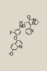 COc1ccc2c(Oc3ccc(NOCc4c(-c5ccccn5)n5n(c4=O)CCC5)cc3F)ccnc2c1